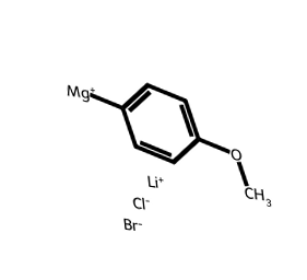 COc1cc[c]([Mg+])cc1.[Br-].[Cl-].[Li+]